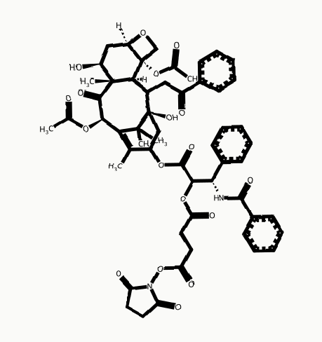 CC(=O)O[C@H]1C(=O)[C@@]2(C)[C@H](C(CC(=O)c3ccccc3)[C@]3(O)CC(OC(=O)C(OC(=O)CCC(=O)ON4C(=O)CCC4=O)[C@@H](NC(=O)c4ccccc4)c4ccccc4)C(C)=C1C3(C)C)[C@]1(OC(C)=O)CO[C@@H]1C[C@@H]2O